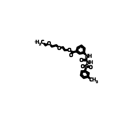 [CH2]COCCOCCOC(=O)c1cccc(NC(=O)NS(=O)(=O)c2cccc(C)c2)c1